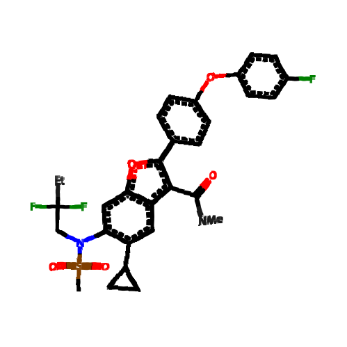 CCC(F)(F)CN(c1cc2oc(-c3ccc(Oc4ccc(F)cc4)cc3)c(C(=O)NC)c2cc1C1CC1)S(C)(=O)=O